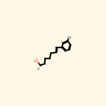 CCc1cccc(/C=C/CCCC[C@H](C)O)c1